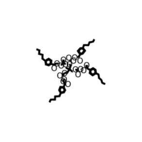 CCCCCc1ccc(C(=O)OOC(=O)OCC(COC(=O)OOC(=O)c2ccc(CCCCC)cc2)(COC(=O)OOC(=O)c2ccc(CCCCC)cc2)COC(=O)OOC(=O)c2ccc(CCCCC)cc2)cc1